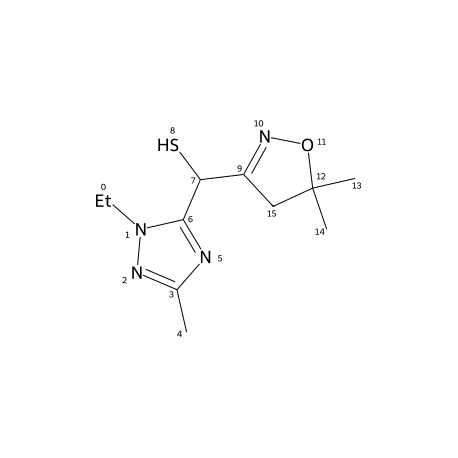 CCn1nc(C)nc1C(S)C1=NOC(C)(C)C1